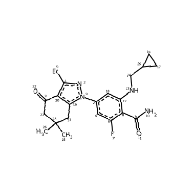 CCc1nn(-c2cc(F)c(C(N)=O)c(NCC3CC3)c2)c2c1C(=O)CC(C)(C)C2